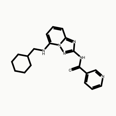 O=C(Nc1nc2cccc(NCC3CCCCC3)n2n1)c1cccnc1